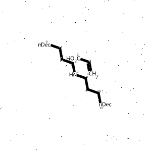 C=CC(=O)O.CCCCCCCCCCCCCNCCCCCCCCCCCCC